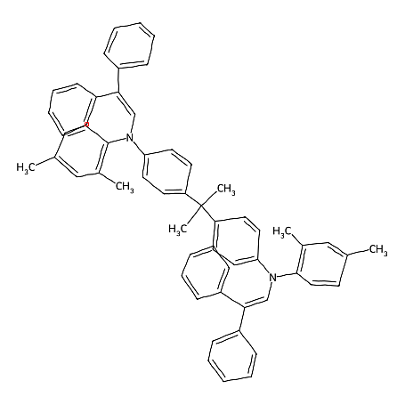 Cc1ccc(N(C=C(c2ccccc2)c2ccccc2)c2ccc(C(C)(C)c3ccc(N(C=C(c4ccccc4)c4ccccc4)c4ccc(C)cc4C)cc3)cc2)c(C)c1